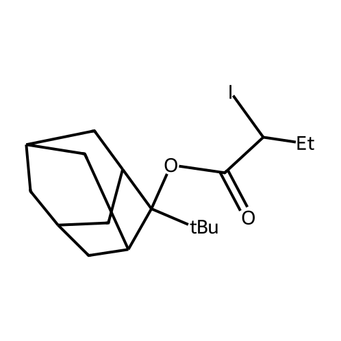 CCC(I)C(=O)OC1(C(C)(C)C)C2CC3CC(C2)CC1C3